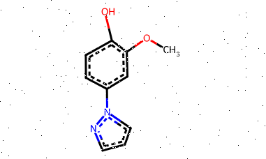 COc1cc(-n2cccn2)ccc1O